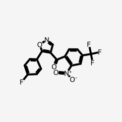 O=C(c1ccc(C(F)(F)F)cc1[N+](=O)[O-])c1cnoc1-c1ccc(F)cc1